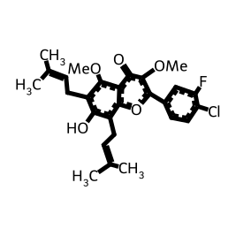 COc1c(-c2ccc(Cl)c(F)c2)oc2c(CC=C(C)C)c(O)c(CC=C(C)C)c(OC)c2c1=O